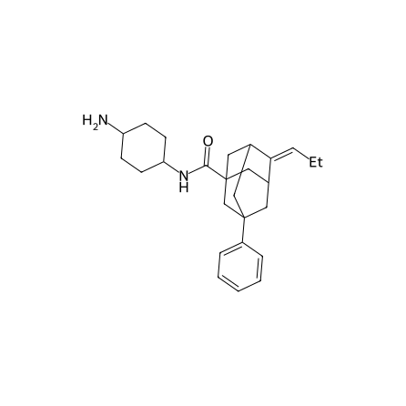 CCC=C1C2CC3(C(=O)NC4CCC(N)CC4)CC1CC(c1ccccc1)(C2)C3